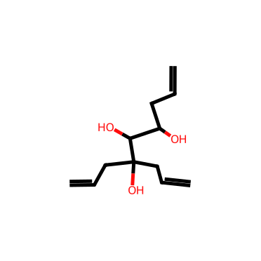 C=CCC(O)C(O)C(O)(CC=C)CC=C